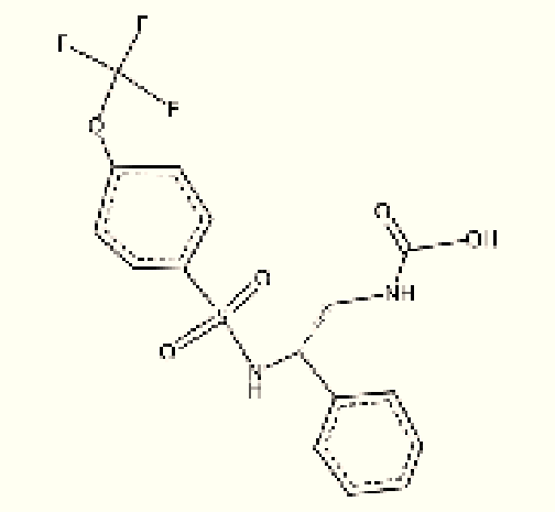 O=C(O)NC[C@@H](NS(=O)(=O)c1ccc(OC(F)(F)F)cc1)c1ccccc1